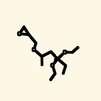 CCO[Si](CC)(CC(C)OCC1CO1)OCC